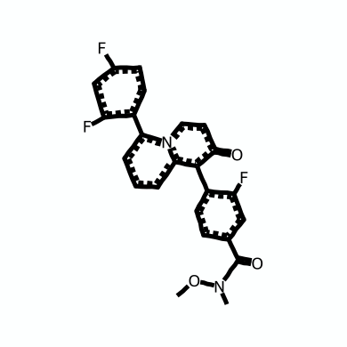 CON(C)C(=O)c1ccc(-c2c(=O)ccn3c(-c4ccc(F)cc4F)cccc23)c(F)c1